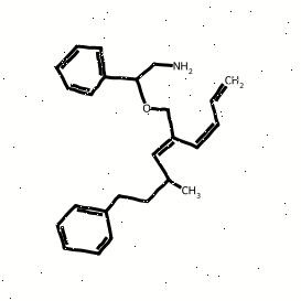 C=C/C=C\C(=C/C(C)CCc1ccccc1)COC(CN)c1ccccc1